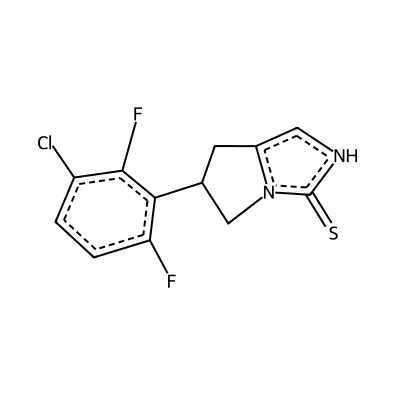 Fc1ccc(Cl)c(F)c1C1Cc2c[nH]c(=S)n2C1